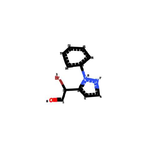 O=CC(Br)c1ccnn1-c1ccccc1